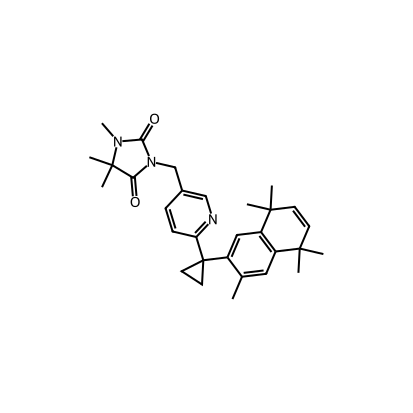 Cc1cc2c(cc1C1(c3ccc(CN4C(=O)N(C)C(C)(C)C4=O)cn3)CC1)C(C)(C)C=CC2(C)C